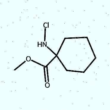 COC(=O)C1(NCl)CCCCC1